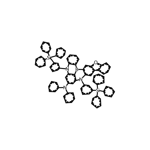 c1ccc(N(c2ccccc2)c2cc3c4c(c2)N(c2cccc([Si](c5ccccc5)(c5ccccc5)c5ccccc5)c2)c2cc5c(cc2B4c2ccccc2N3c2cccc([Si](c3ccccc3)(c3ccccc3)c3ccccc3)c2)oc2ccccc25)cc1